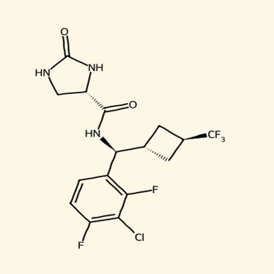 O=C1NC[C@@H](C(=O)N[C@H](c2ccc(F)c(Cl)c2F)[C@H]2C[C@H](C(F)(F)F)C2)N1